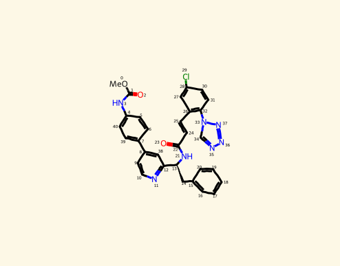 COC(=O)Nc1ccc(-c2ccnc([C@H](Cc3ccccc3)NC(=O)C=Cc3cc(Cl)ccc3-n3cnnn3)c2)cc1